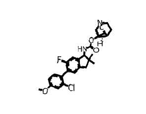 COc1ccc(-c2cc3c(cc2F)C(NC(=O)O[C@H]2CN4CCC2CC4)C(C)(C)C3)c(Cl)c1